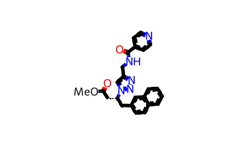 COC(=O)C[C@@H](Cc1ccc2ccccc2c1)n1cc(CNC(=O)c2ccncc2)nn1